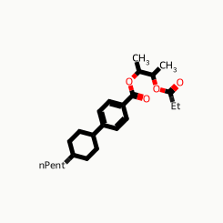 CCCCCC1CCC(c2ccc(C(=O)OC(C)C(C)OC(=O)CC)cc2)CC1